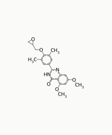 COc1cc(OC)c2c(=O)[nH]c(-c3cc(C)c(OCC4CO4)c(C)c3)nc2c1